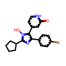 O=c1cc(-c2c(-c3ccc(Br)cc3)nc(C3CCCC3)n2O)cc[nH]1